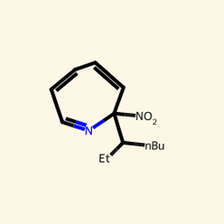 [CH2]CCCC(CC)C1([N+](=O)[O-])C=CC=CC=N1